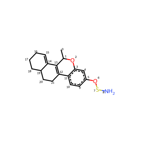 CC1Oc2cc(OSN)ccc2C2=C1C1=CCCCC1CC2